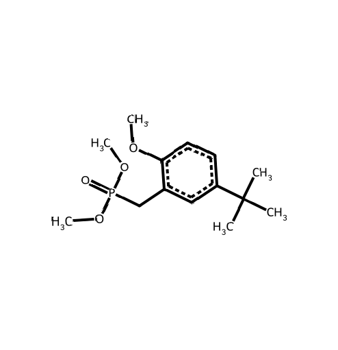 COc1ccc(C(C)(C)C)cc1CP(=O)(OC)OC